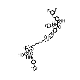 Cc1ncsc1-c1ccc(CNC(=O)[C@@H]2C[C@@H](O)CN2C(=O)[C@@H](NC(=O)CCCCCCCNC(=O)CN2CCN(c3ccc(C(=O)Nc4n[nH]c5ccc(Cc6cc(F)cc(F)c6)cc45)c(NC4CCOCC4)c3)CC2)C(C)(C)C)cc1